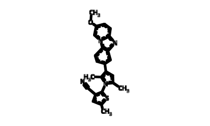 COc1ccc2nc3cc(-c4cc(C)n(-c5sc(C)cc5C#N)c4C)ccc3n2c1